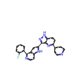 Fc1ccccc1-c1nccc2[nH]c(-c3n[nH]c4ccc(-c5ccncc5)nc34)cc12